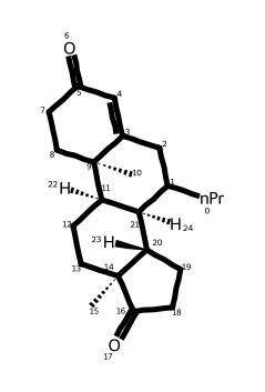 CCCC1CC2=CC(=O)CC[C@]2(C)[C@@H]2CC[C@]3(C)C(=O)CC[C@H]3[C@H]12